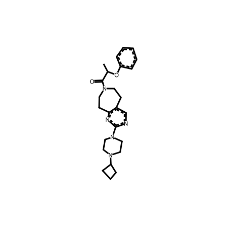 CC(Oc1ccccc1)C(=O)N1CCc2cnc(N3CCN(C4CCC4)CC3)nc2CC1